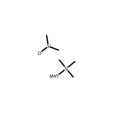 CS[Si](C)(C)C.C[S+](C)[O-]